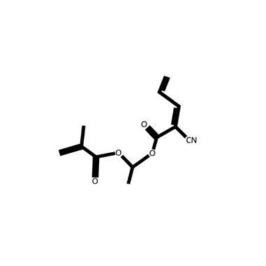 C=CC=C(C#N)C(=O)OC(C)OC(=O)C(=C)C